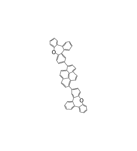 c1ccc2c(c1)Oc1ccc(-c3ccc4ccc5c(-c6ccc7c(c6)-c6ccccc6-c6ccccc6O7)ccc6ccc3c4c65)cc1-c1ccccc1-2